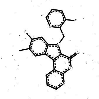 Cc1cc2c3c4cccnc4oc(=O)c3n(Cc3ncccc3F)c2cc1F